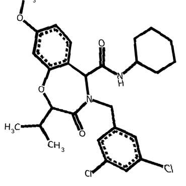 COc1ccc2c(c1)OC(C(C)C)C(=O)N(Cc1cc(Cl)cc(Cl)c1)C2C(=O)NC1CCCCC1